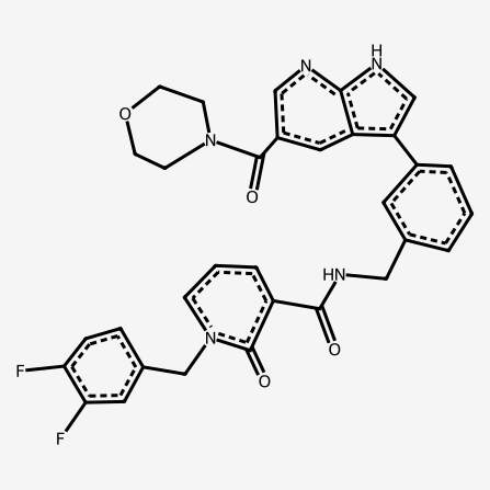 O=C(NCc1cccc(-c2c[nH]c3ncc(C(=O)N4CCOCC4)cc23)c1)c1cccn(Cc2ccc(F)c(F)c2)c1=O